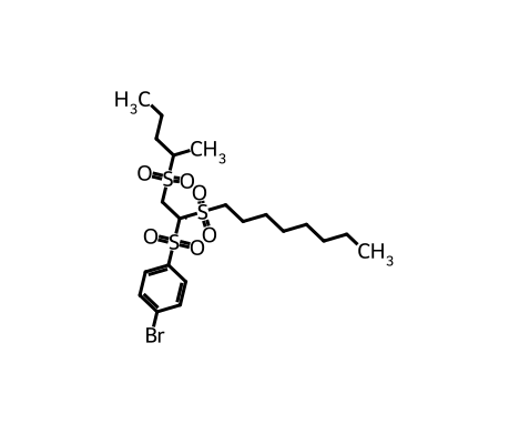 CCCCCCCCS(=O)(=O)[C](CS(=O)(=O)C(C)CCC)S(=O)(=O)c1ccc(Br)cc1